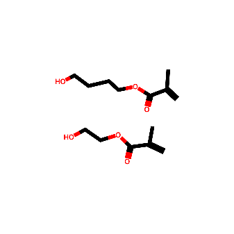 C=C(C)C(=O)OCCCCO.C=C(C)C(=O)OCCO